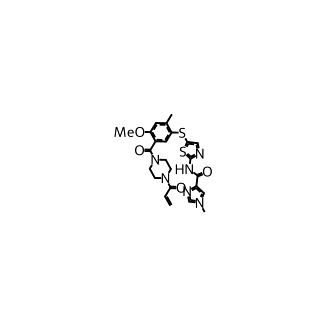 C=CC(=O)N1CCN(C(=O)c2cc(Sc3cnc(NC(=O)c4cn(C)cn4)s3)c(C)cc2OC)CC1